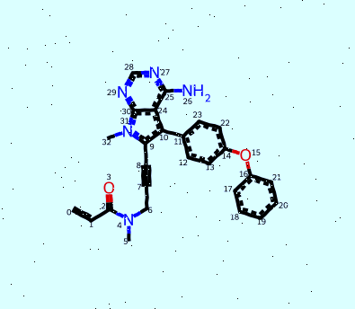 C=CC(=O)N(C)CC#Cc1c(-c2ccc(Oc3ccccc3)cc2)c2c(N)ncnc2n1C